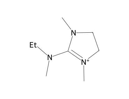 CCN(C)C1=[N+](C)CCN1C